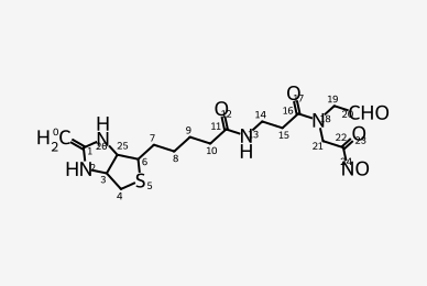 C=C1NC2CSC(CCCCC(=O)NCCC(=O)N(CC=O)CC(=O)N=O)C2N1